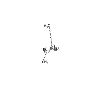 CCCCCCCCCCCCCCCCCC(=O)NC(CO)(CO)CCc1ccc(OCCCCCCC)c(C(F)(F)F)c1